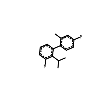 Cc1cc(F)ccc1-c1[c]ccc(F)c1C(C)C